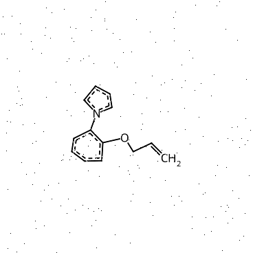 C=CCOc1ccccc1-n1cccc1